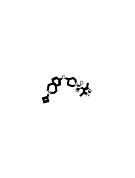 Cc1noc(C)c1S(=O)(=O)N1CCC(Oc2ccc3c(c2)CCN(C2=CC=C2)CC3)CC1